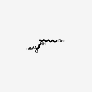 CCCCCCCCCCCCCCCCC(C)NCCC(=O)OCCCC